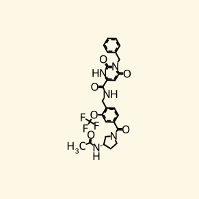 CC(=O)N[C@H]1CCN(C(=O)c2ccc(CNC(=O)c3cc(=O)n(Cc4ccccc4)c(=O)[nH]3)c(OC(F)(F)F)c2)C1